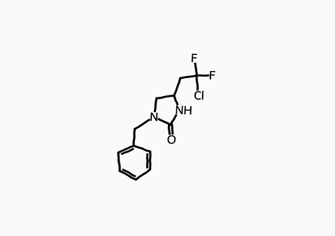 O=C1NC(CC(F)(F)Cl)CN1Cc1ccccc1